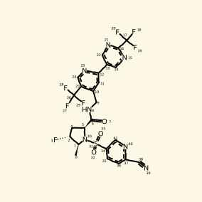 C[C@H]1[C@H](F)C[C@@H](C(=O)NCc2cc(-c3cnc(C(F)(F)F)nc3)ncc2C(F)(F)F)N1S(=O)(=O)c1ccc(C#N)nc1